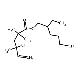 C=CC(C)(C)CC(C)(C)C(=O)OCC(CC)CCCC